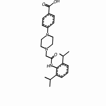 CC(C)c1cccc(C(C)C)c1NC(=O)CN1CCN(c2ccc(C(=O)O)cc2)CC1